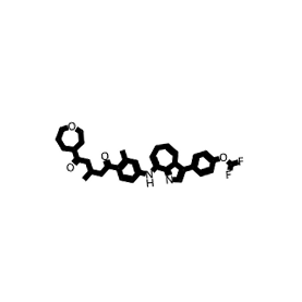 Cc1cc(NC2=CCC=CC3C(c4ccc(OC(F)F)cc4)=CN=C23)ccc1C(=O)CC(C)CC(=O)C1CCCOCC1